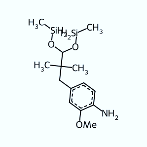 COc1cc(CC(C)(C)C(O[SiH2]C)O[SiH2]C)ccc1N